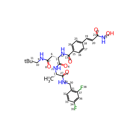 C[C@H](NC(=O)[C@H](CC(=O)NCC(C)(C)C)NC(=O)c1ccc(/C=C/C(=O)NO)cc1)C(=O)NCc1ccc(F)cc1F